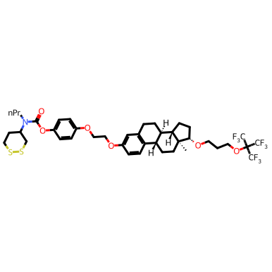 CCCN(C(=O)Oc1ccc(OCCOc2ccc3c(c2)CC[C@@H]2[C@@H]3CC[C@]3(C)[C@@H](OCCCOC(C(F)(F)F)(C(F)(F)F)C(F)(F)F)CC[C@@H]23)cc1)C1CCSSC1